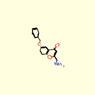 NCc1cc(=O)c2cc(OCc3ccccc3)ccc2o1